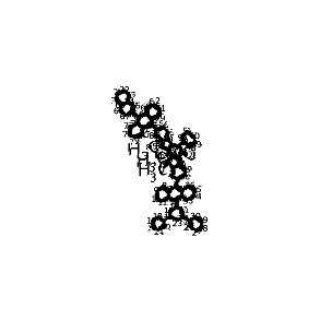 CC1(C)c2cc(-c3c4ccccc4c(-c4cc(-c5ccccc5)cc(-c5ccccc5)c4)c4ccccc34)ccc2-c2c1c1c(c3c2oc2ccccc23)-c2ccc(-c3c4ccccc4c(-c4ccc5ccccc5c4)c4ccccc34)cc2C1(C)C